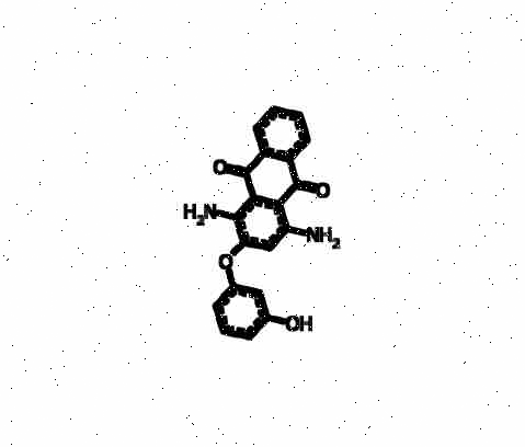 Nc1cc(Oc2cccc(O)c2)c(N)c2c1C(=O)c1ccccc1C2=O